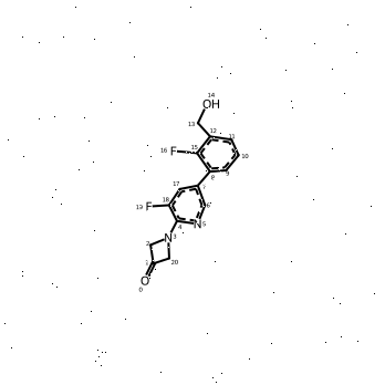 O=C1CN(c2ncc(-c3cccc(CO)c3F)cc2F)C1